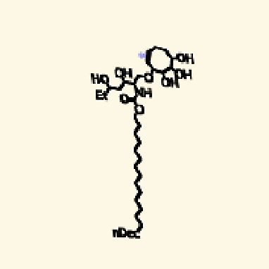 CCCCCCCCCCCCCCCCCCCCCCCCOC(=O)NC(COC1/C=C\CCC(O)C(O)C1O)C(O)CC(O)CC